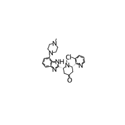 CN1CCN(c2cccc3nc([C@H]4CC(=O)C[C@@H](c5ncccc5Cl)N4C)[nH]c23)CC1